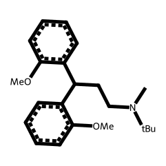 COc1ccccc1C(CCN(C)C(C)(C)C)c1ccccc1OC